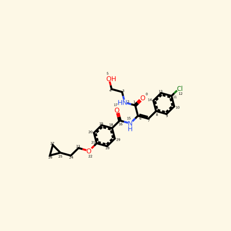 O=C(NCCO)/C(=C\c1ccc(Cl)cc1)NC(=O)c1ccc(OCCC2CC2)cc1